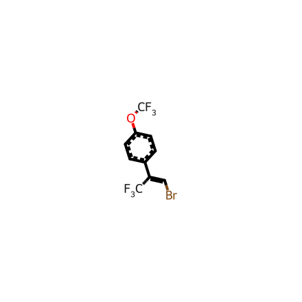 FC(F)(F)Oc1ccc(C(=CBr)C(F)(F)F)cc1